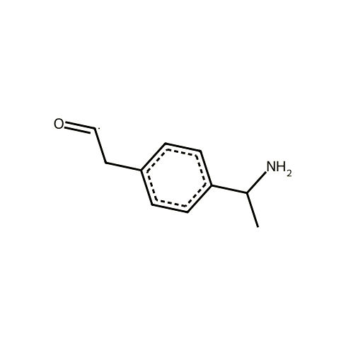 CC(N)c1ccc(C[C]=O)cc1